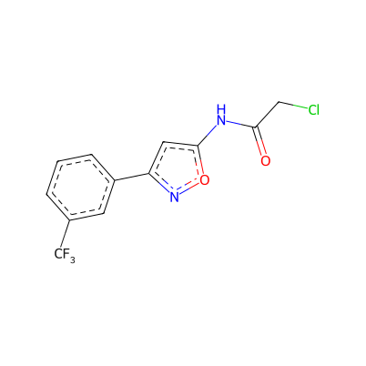 O=C(CCl)Nc1cc(-c2cccc(C(F)(F)F)c2)no1